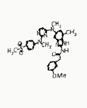 COc1cccc(CC(=O)Nc2nc3cc(N(C)c4ccnc(N(C)c5ccc(S(C)(=O)=O)cc5)n4)cc(C)c3[nH]2)c1